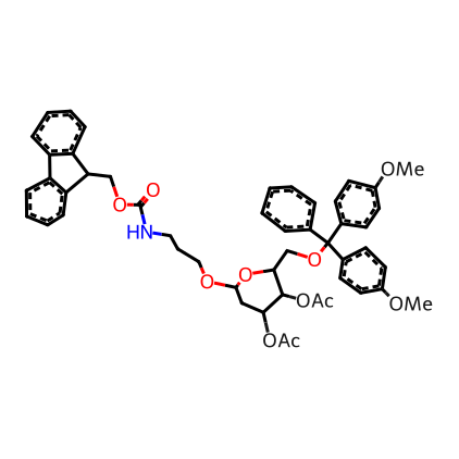 COc1ccc(C(OCC2OC(OCCCNC(=O)OCC3c4ccccc4-c4ccccc43)CC(OC(C)=O)C2OC(C)=O)(c2ccccc2)c2ccc(OC)cc2)cc1